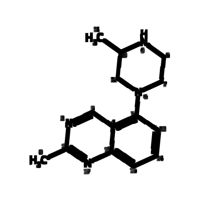 Cc1ncc2c(N3CCNC(C)C3)cccc2n1